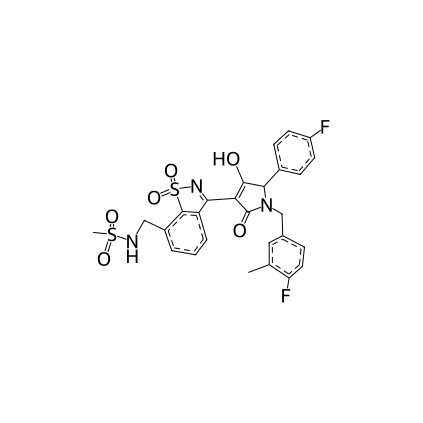 Cc1cc(CN2C(=O)C(C3=NS(=O)(=O)c4c(CNS(C)(=O)=O)cccc43)=C(O)C2c2ccc(F)cc2)ccc1F